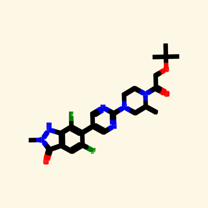 CC1CN(c2ncc(-c3c(F)cc4c(=O)n(C)[nH]c4c3F)cn2)CCN1C(=O)COC(C)(C)C